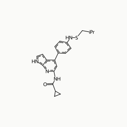 CC(C)CSNc1ccc(-c2cc(NC(=O)C3CC3)nc3[nH]ccc23)cc1